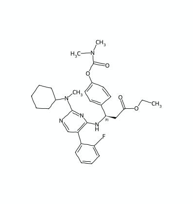 CCOC(=O)C[C@@H](Nc1nc(N(C)C2CCCCC2)ncc1-c1ccccc1F)c1ccc(OC(=O)N(C)C)cc1